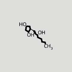 CCCCC[C@@H](O)/C=C/[C@@H]1CC(O)CC1O